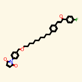 O=C(C=Cc1ccc(CCCCCCCCCCOCc2ccc(N3C(=O)C=CC3=O)cc2)cc1)c1ccc(F)cc1